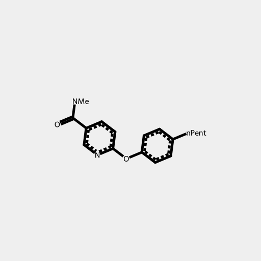 CCCCCc1ccc(Oc2ccc(C(=O)NC)cn2)cc1